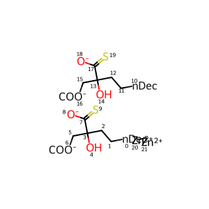 CCCCCCCCCCCCC(O)(CC(=O)[O-])C([O-])=S.CCCCCCCCCCCCC(O)(CC(=O)[O-])C([O-])=S.[Zn+2].[Zn+2]